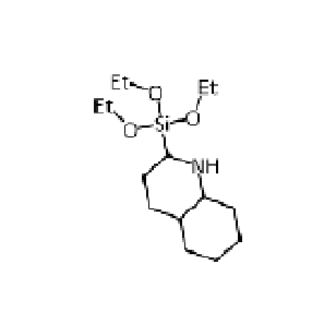 CCO[Si](OCC)(OCC)C1CCC2CCCCC2N1